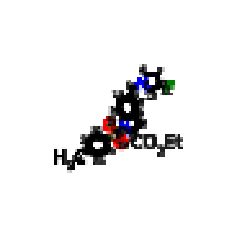 CCOC(=O)c1cc2cc(CN3CC[C@@H](F)C3)ccc2n1S(=O)(=O)c1ccc(C)cc1